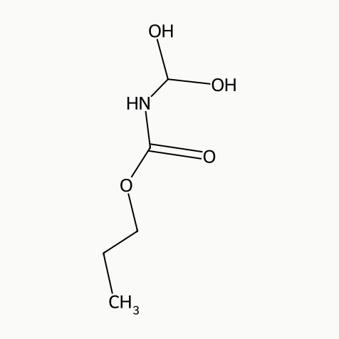 CCCOC(=O)NC(O)O